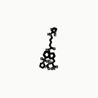 O=C(CCCCNc1ncc[nH]1)Nc1ccc(C[C@H](NC(=O)[C@@H]2CCCN2S(=O)(=O)c2ccccc2)C(=O)O)cc1